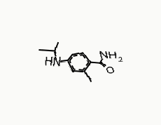 Cc1cc(NC(C)C)ccc1C(N)=O